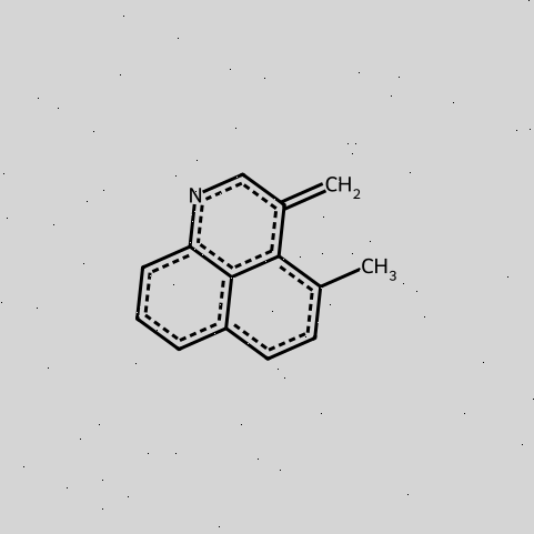 C=c1cnc2cccc3ccc(C)c1c32